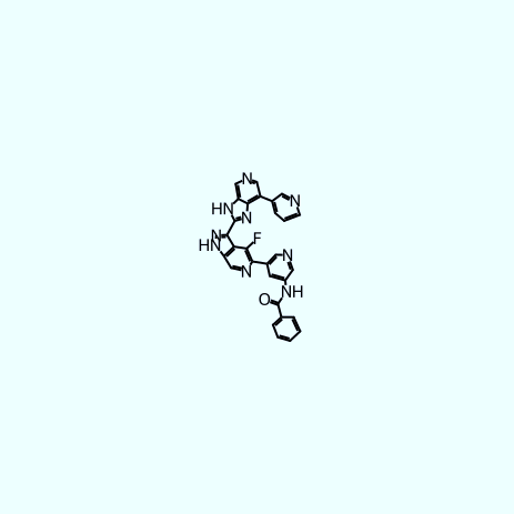 O=C(Nc1cncc(-c2ncc3[nH]nc(-c4nc5c(-c6cccnc6)cncc5[nH]4)c3c2F)c1)c1ccccc1